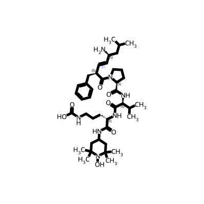 CC(C)C[C@H](N)/C=C/[C@H](Cc1ccccc1)C(=O)N1CCC[C@H]1C(=O)N[C@H](C(=O)N[C@@H](CCCNC(=O)O)C(=O)NC1CC(C)(C)N(O)C(C)(C)C1)C(C)C